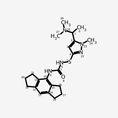 CC(c1cc(SNC(=O)Nc2c3c(cc4c2CCC4)CCC3)nn1C)N(C)C